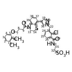 Cc1cccc(OCCCC(=O)N2CCSc3c(-c4cnn(Cc5cccc(C(=O)NCCS(=O)(=O)O)c5Cl)c4)cccc32)c1C